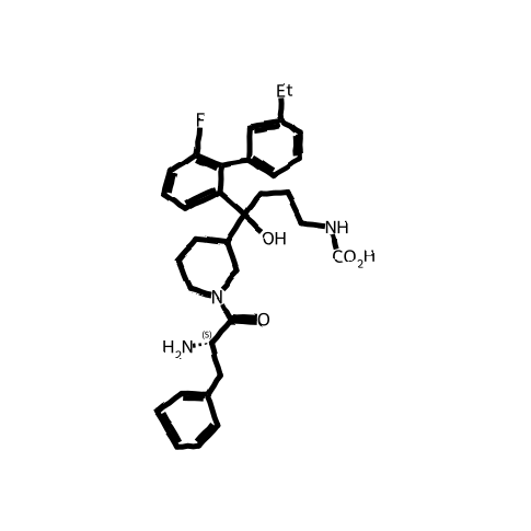 CCc1cccc(-c2c(F)cccc2C(O)(CCCNC(=O)O)C2CCCN(C(=O)[C@@H](N)Cc3ccccc3)C2)c1